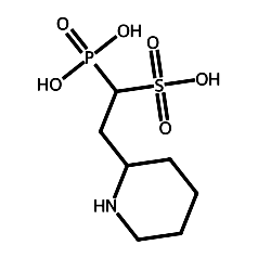 O=P(O)(O)C(CC1CCCCN1)S(=O)(=O)O